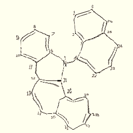 c1ccc2c(-n3c4ccccc4c4ccc5ccccc5c43)cccc2c1